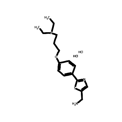 CCN(CC)CCCOc1ccc(-c2ncc(CN)s2)cc1.Cl.Cl